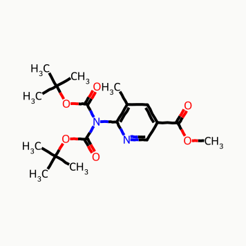 COC(=O)c1cnc(N(C(=O)OC(C)(C)C)C(=O)OC(C)(C)C)c(C)c1